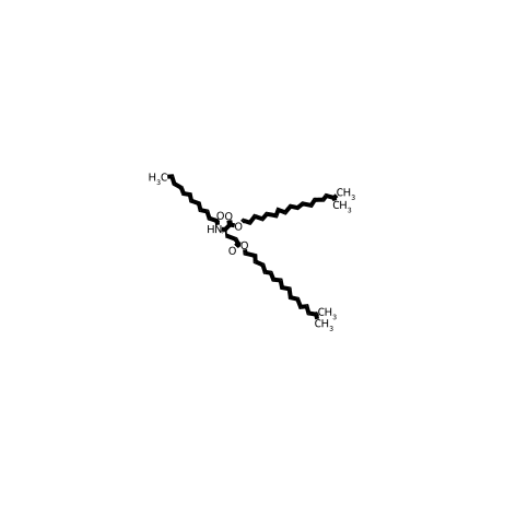 CCCCCCCCCCCC(=O)N[C@H](CCC(=O)OCCCCCCCCCCCCCCCC(C)C)C(=O)OCCCCCCCCCCCCCCCC(C)C